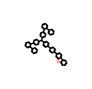 c1ccc(-c2ccccc2-c2ccc(C(c3ccc(-c4ccc(-c5ccc6c(c5)oc5ccccc56)cc4)cc3)c3ccc(-c4ccccc4-c4ccccc4)cc3)cc2)cc1